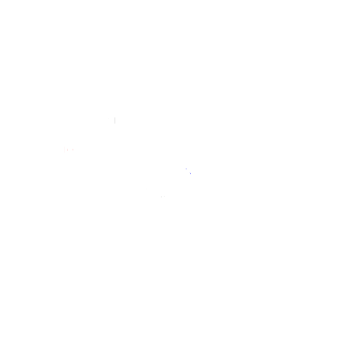 Cc1cc(C(=O)NC2CCCc3ccccc32)ccc1O